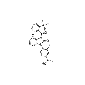 O=C(O)c1ccc(-n2c(=O)n(C(=O)c3c(Cl)cccc3C(F)(F)F)c3ccccc32)c(F)c1